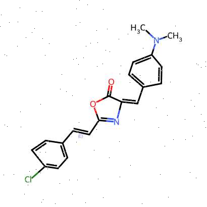 CN(C)c1ccc(C=C2N=C(/C=C/c3ccc(Cl)cc3)OC2=O)cc1